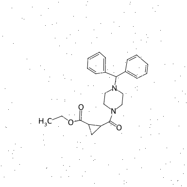 CCOC(=O)C1CC1C(=O)N1CCN(C(c2ccccc2)c2ccccc2)CC1